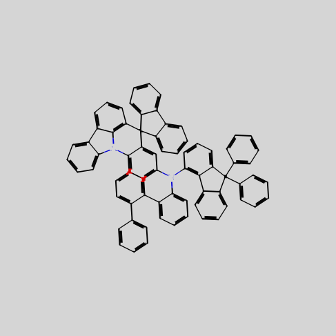 c1ccc(-c2ccccc2-c2ccccc2N(c2ccc3c(c2)C2(c4ccccc4-c4ccccc42)c2cccc4c5ccccc5n-3c24)c2cccc3c2-c2ccccc2C3(c2ccccc2)c2ccccc2)cc1